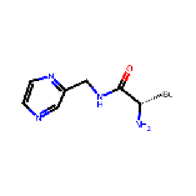 CCC(C)[C@H](N)C(=O)NCc1cnccn1